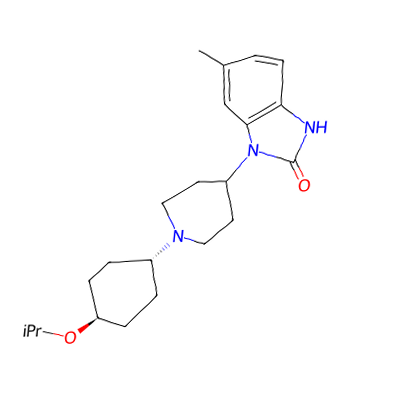 Cc1ccc2[nH]c(=O)n(C3CCN([C@H]4CC[C@H](OC(C)C)CC4)CC3)c2c1